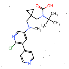 CN(CC1(CN(C(=O)O)C(C)(C)C)CC1)c1cnc(Cl)c(-c2ccncc2)c1